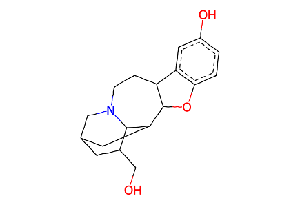 OCC1CC2CC3C4Oc5ccc(O)cc5C4CCN(C2)C13